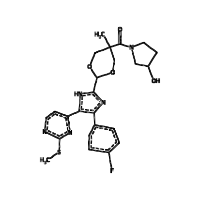 CSc1nccc(-c2[nH]c(C3OCC(C)(C(=O)N4CCC(O)C4)CO3)nc2-c2ccc(F)cc2)n1